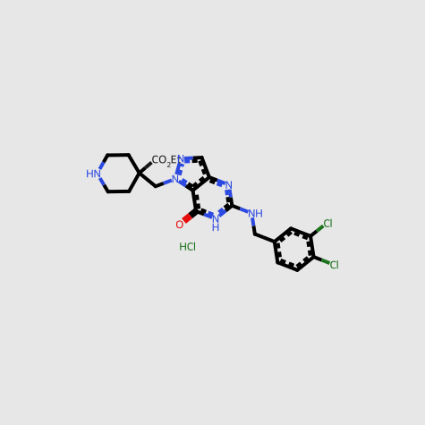 CCOC(=O)C1(Cn2ncc3nc(NCc4ccc(Cl)c(Cl)c4)[nH]c(=O)c32)CCNCC1.Cl